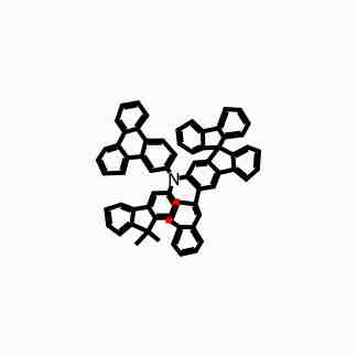 CC1(C)c2ccccc2-c2cc(N(c3ccc4c5ccccc5c5ccccc5c4c3)c3cc4c(cc3-c3ccc5ccccc5c3)-c3ccccc3C43c4ccccc4-c4ccccc43)ccc21